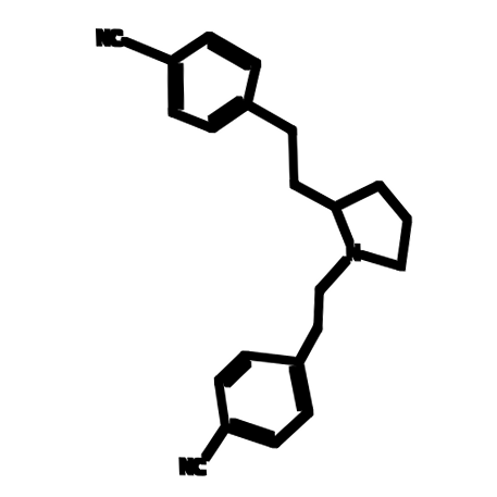 N#Cc1ccc(CCC2CCCN2CCc2ccc(C#N)cc2)cc1